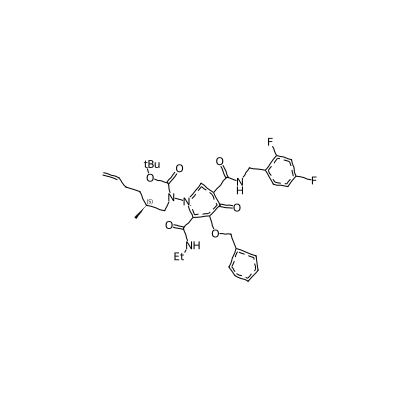 C=CCC[C@H](C)CN(C(=O)OC(C)(C)C)n1cc(C(=O)NCc2ccc(F)cc2F)c(=O)c(OCc2ccccc2)c1C(=O)NCC